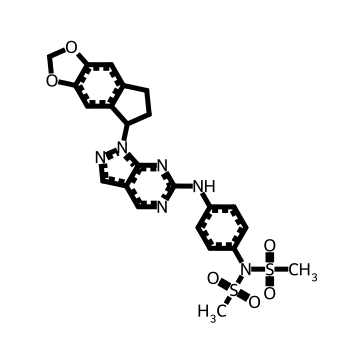 CS(=O)(=O)N(c1ccc(Nc2ncc3cnn(C4CCc5cc6c(cc54)OCO6)c3n2)cc1)S(C)(=O)=O